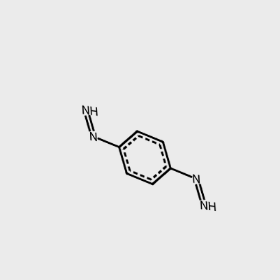 N=Nc1ccc(N=N)cc1